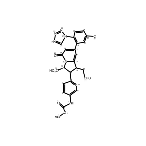 CC(C)(C)OC(=O)Nc1ccc(C2C(CC=O)c3cc(-c4cc(Cl)ccc4-n4cnnn4)cc(=O)n3[C@@H]2C(=O)O)nc1